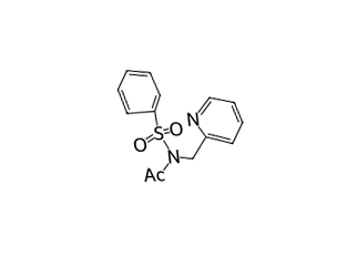 CC(=O)N(Cc1ccccn1)S(=O)(=O)c1ccccc1